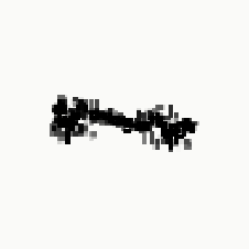 C[C@@H]1CN(CC(=O)N2CC(C)(C)c3[nH]c(=O)c(Cc4ccc(F)cc4)cc32)[C@@H](CN2CCC(CNC(=O)Cc3ccc(CC(=O)NCC4CCN(C[C@H]5CN[C@H](C)CN5CC(=O)N5CC(C)(C)c6[nH]c(=O)c(Cc7ccc(F)cc7)cc65)CC4)cc3)CC2)CN1